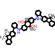 CC1(C)c2ccccc2-c2ccc(-c3ccccc3Nc3ccc4c(c3)C(O)(C(C)(C)C)c3ccc(Nc5ccccc5-c5ccc6c(c5)C(C)(C)c5ccccc5-6)cc3C4(O)C(C)(C)C)cc21